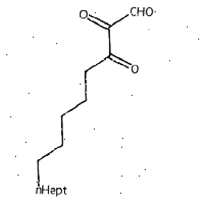 CCCCCCCCCCCCC(=O)C(=O)[C]=O